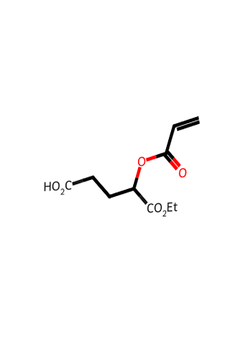 C=CC(=O)OC(CCC(=O)O)C(=O)OCC